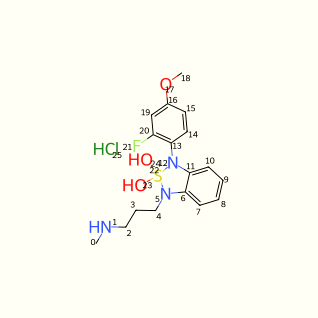 CNCCCN1c2ccccc2N(c2ccc(OC)cc2F)S1(O)O.Cl